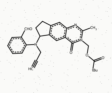 C#CCN(c1ccccc1C=O)C1CCc2cc3nc(C)n(COC(=O)C(C)(C)C)c(=O)c3cc21